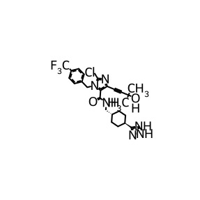 CC(C)(O)C#Cc1nc(Cl)n(Cc2ccc(C(F)(F)F)cc2)c1C(=O)NC[C@H]1CC[C@H](c2n[nH][nH]2)CC1